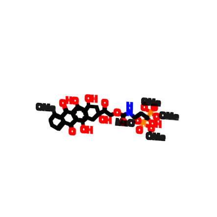 COOP(=O)(OOC)C(O)(CCNC(=O)OCC(=O)C1(O)Cc2c(O)c3c(c(O)c2C(O)C1)C(=O)C1=C(OC)CCC=C1C3=O)P(=O)(OOC)OOC